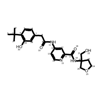 CC(C)(C)c1ccc(CC(=O)Nc2ccnc(C(=O)NC3(CO)CCOC3)c2)cc1O